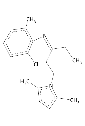 CCC(CCn1c(C)ccc1C)=Nc1c(C)cccc1Cl